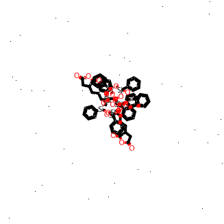 C[Si]1(CCCC2CC(=O)OC2=O)O[Si]2(c3ccccc3)OC34O[Si](c5ccccc5)(O2)O[Si]2(c5ccccc5)O[Si](C)(CCCC5CC(=O)OC5=O)O[Si]5(c6ccccc6)O[Si](c6ccccc6)(O[Si](c6ccccc6)(O1)O[Si]3(c1ccccc1)O5)O[Si]4(c1ccccc1)O2